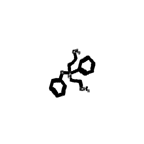 CCC[PH](CCC)(Oc1ccccc1)c1ccccc1